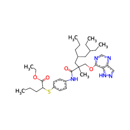 CCCC(CC(CC)CC)CC(C)(COc1ncnc2cn[nH]c12)C(=O)Nc1ccc(SC(CCC)C(=O)OCC)cc1